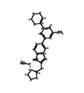 Cc1cc(-c2ccc3[nH]c(CN4CCC[C@@H]4CO)cc3c2)nc(C2=CCCCC2)n1